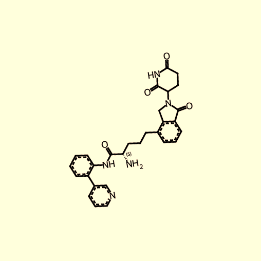 N[C@@H](CCCc1cccc2c1CN(C1CCC(=O)NC1=O)C2=O)C(=O)Nc1ccccc1-c1cccnc1